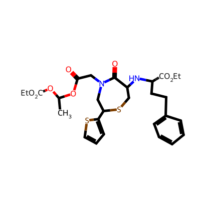 CCOC(=O)OC(C)OC(=O)CN1CC(c2cccs2)SCC(NC(CCc2ccccc2)C(=O)OCC)C1=O